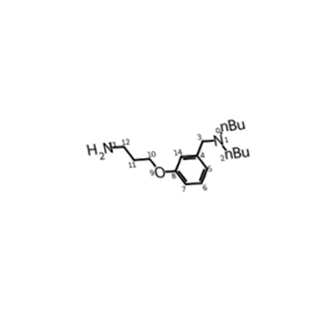 CCCCN(CCCC)Cc1cccc(OCCCN)c1